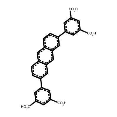 O=C(O)c1cc(C(=O)O)cc(-c2ccc3cc4ccc(-c5cc(C(=O)O)cc(C(=O)O)c5)cc4cc3c2)c1